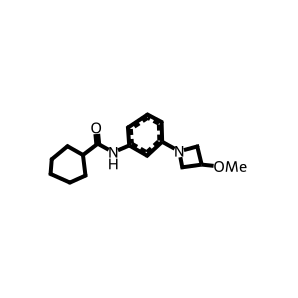 COC1CN(c2cccc(NC(=O)C3CCCCC3)c2)C1